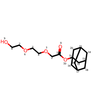 O=C(COCCOCCO)OC12CC3CC(CC(C3)C1)C2